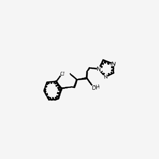 CC(Cc1ccccc1Cl)C(O)Cn1cncn1